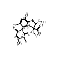 CCOC(C(=O)CC)(C(C)C)C(Sc1cc(-n2c(=O)cc(C(F)(F)F)n(C)c2=O)c(F)cc1Cl)C(=O)O